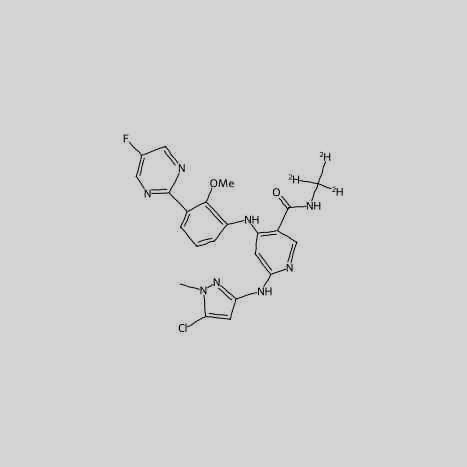 [2H]C([2H])([2H])NC(=O)c1cnc(Nc2cc(Cl)n(C)n2)cc1Nc1cccc(-c2ncc(F)cn2)c1OC